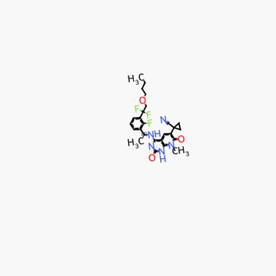 CCCCOCC(F)(F)c1cccc([C@@H](C)Nc2nc(=O)[nH]c3c2cc(C2(C#N)CC2)c(=O)n3C)c1F